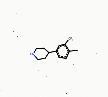 Cc1ccc(C2CCNCC2)cc1C(F)(F)F